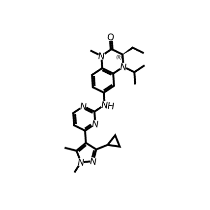 CC[C@@H]1C(=O)N(C)c2ccc(Nc3nccc(-c4c(C5CC5)nn(C)c4C)n3)cc2N1C(C)C